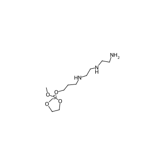 CO[Si]1(OCCCNCCNCCN)OCCO1